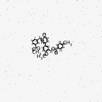 COC(=O)c1cccc(Cn2nc(-c3ccc(OC)c(COS(=O)c4ccc(C)cc4)c3)ccc2=O)c1